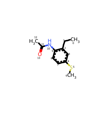 CCc1cc(SC)ccc1NC(C)=O